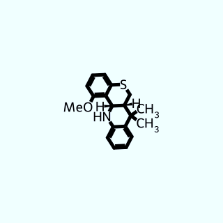 COc1cccc2c1[C@H]1Nc3ccccc3C(C)(C)[C@H]1CS2